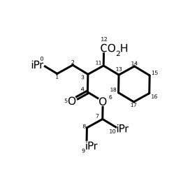 CC(C)CCC(C(=O)OC(CC(C)C)C(C)C)C(C(=O)O)C1CCCCC1